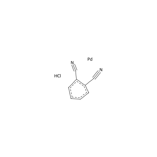 Cl.N#Cc1ccccc1C#N.[Pd]